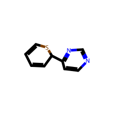 C1=CSC(c2ccncn2)C=C1